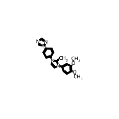 COc1ccc(N2C=CN(c3ccc(-n4cncn4)cc3)C2C)cc1OC